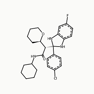 O=C(NC1CCCCC1)[C@H]([C@H]1CCCCO1)C1(c2ccc(Cl)cc2)Nc2ccc(F)cc2N1